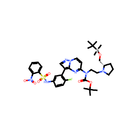 CC(C)(C)OC(=O)N(CCN1CCC[C@H]1CO[Si](C)(C)C(C)(C)C)c1ccn2ncc(-c3cc(NS(=O)(=O)c4ccccc4[N+](=O)[O-])ccc3F)c2n1